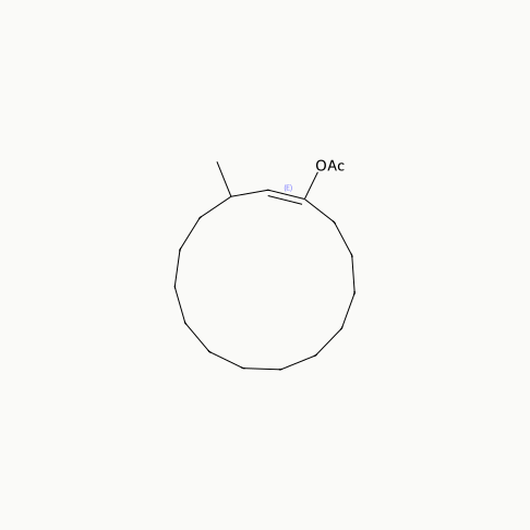 CC(=O)O/C1=C/C(C)CCCCCCCCCCCC1